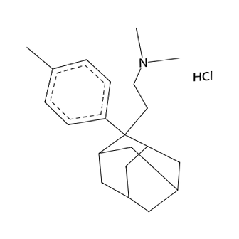 Cc1ccc(C2(CCN(C)C)C3CC4CC(C3)CC2C4)cc1.Cl